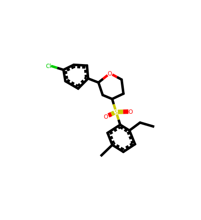 CCc1ccc(C)cc1S(=O)(=O)C1CCOC(c2ccc(Cl)cc2)C1